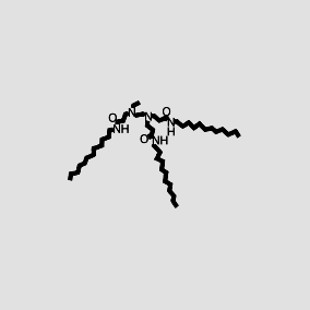 CCCCCCCCCCCCNC(=O)CCN(CC)CCN(CCC(=O)NCCCCCCCCCCCC)CCC(=O)NCCCCCCCCCCCC